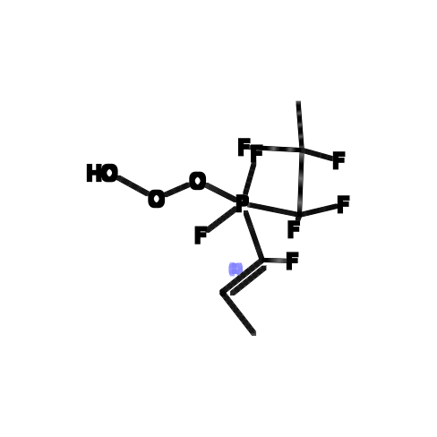 C/C=C(\F)P(F)(F)(OOO)C(F)(F)C(C)(F)F